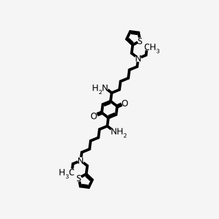 CCN(CCCCCC(N)C1=CC(=O)C(C(N)CCCCCN(CC)Cc2cccs2)=CC1=O)Cc1cccs1